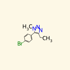 CCc1nnn(C)c1-c1ccc(Br)cc1